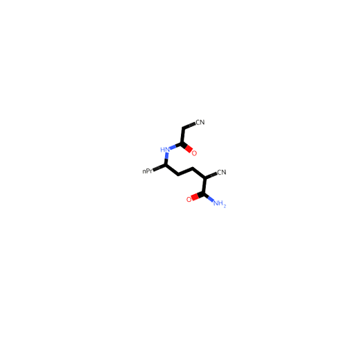 CCCC(CCC(C#N)C(N)=O)NC(=O)CC#N